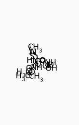 CCc1csc(CC(NC(=O)CNC(=O)OC(C)(C)C)c2ccc(NS(=O)(=O)O)cc2)n1